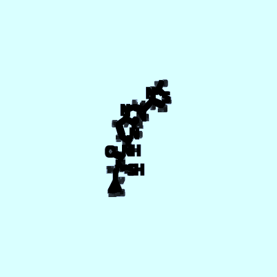 Cc1nc(-c2cnc3ccc(NC(=O)N(S)CC4CC4)nc3n2)cs1